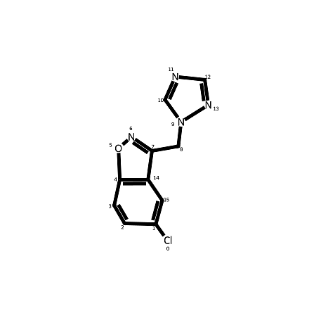 Clc1ccc2onc(Cn3cncn3)c2c1